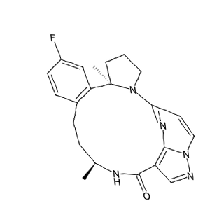 C[C@H]1CCc2ccc(F)cc2[C@@]2(C)CCCN2c2ccn3ncc(c3n2)C(=O)N1